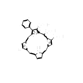 O=C(O)C1=Cc2cc3ccc(cc4nc(cc5c(-c6ccccc6)c(C(=O)O)c(c(C(=O)O)c1n2)n5C(=O)O)C=C4)[nH]3.[Co]